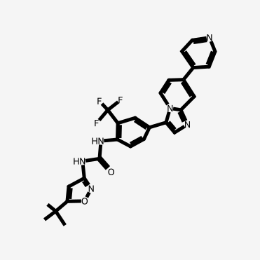 CC(C)(C)c1cc(NC(=O)Nc2ccc(-c3cnc4cc(-c5ccncc5)ccn34)cc2C(F)(F)F)no1